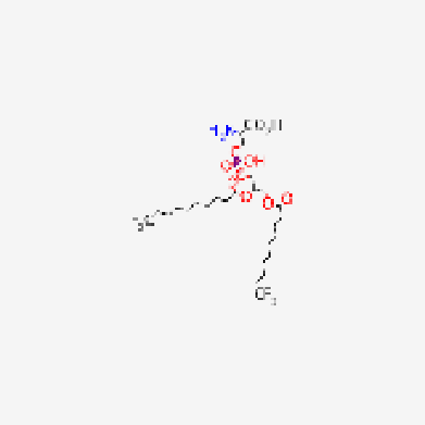 NC(COP(=O)(O)OCC(COC(=O)CCCCCCCCC(F)(F)F)OC(=O)CCCCCCCCC(F)(F)F)C(=O)O